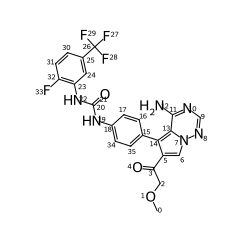 COCC(=O)c1cn2ncnc(N)c2c1-c1ccc(NC(=O)Nc2cc(C(F)(F)F)ccc2F)cc1